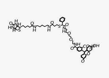 O=C(CCCCC1SC[C@@H]2NC(=O)N[C@H]12)NCCCCCNC(=O)CCSC(C(=O)NCCOCCOCCNC(=O)c1ccc(-c2c3ccc(=O)cc-3oc3cc(O)ccc23)c(C(=O)O)c1)c1ccccc1